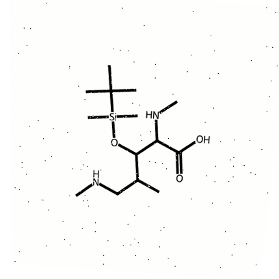 CNCC(C)C(O[Si](C)(C)C(C)(C)C)C(NC)C(=O)O